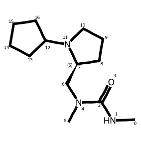 CNC(=O)N(C)C[C@@H]1CCCN1C1CCCC1